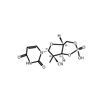 C[C@@]1(C#N)[C@@H]2OP(=O)(O)OC[C@H]2O[C@H]1n1ccc(=O)[nH]c1=O